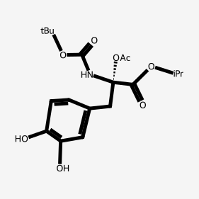 CC(=O)O[C@](Cc1ccc(O)c(O)c1)(NC(=O)OC(C)(C)C)C(=O)OC(C)C